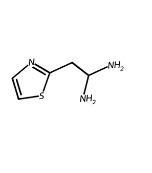 NC(N)Cc1nccs1